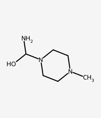 CN1CCN(C(N)O)CC1